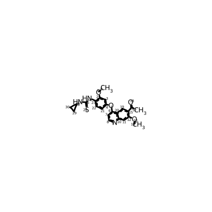 COc1cc(Oc2ccnc3cc(OC)c(C(C)=O)cc23)ccc1NC(=S)NC1CC1